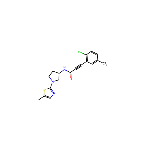 Cc1cnc(N2CCC(NC(=O)C#Cc3cc(C(F)(F)F)ccc3Cl)C2)s1